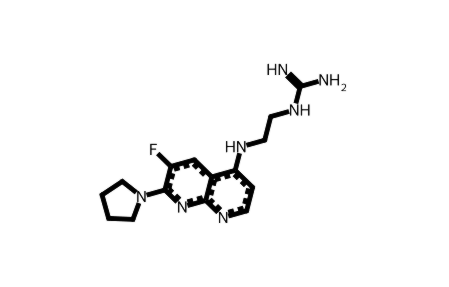 N=C(N)NCCNc1ccnc2nc(N3CCCC3)c(F)cc12